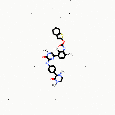 Cc1ccc(-c2cn(C)c(=O)c(Nc3ccc(C4C(=O)N(C)CCN4C)cc3)n2)c(C)c1NC(=O)Oc1cc2c(s1)CCCC2